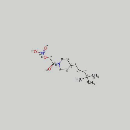 CC(C)(C)CCCC1CCN(C(=O)CO[N+](=O)[O-])CC1